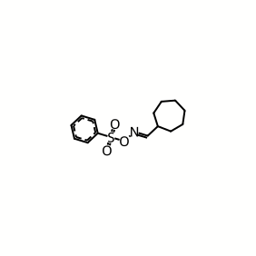 O=S(=O)(ON=CC1CCCCCC1)c1ccccc1